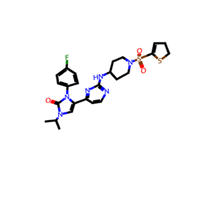 CC(C)n1cc(-c2ccnc(NC3CCN(S(=O)(=O)C4=CCCS4)CC3)n2)n(-c2ccc(F)cc2)c1=O